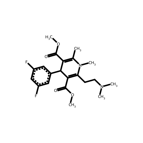 COC(=O)C1=C(C)N(C)C(CCN(C)C)=C(C(=O)OC)C1c1cc(F)cc(F)c1